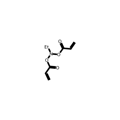 C=CC(=O)ON(CC)OC(=O)C=C